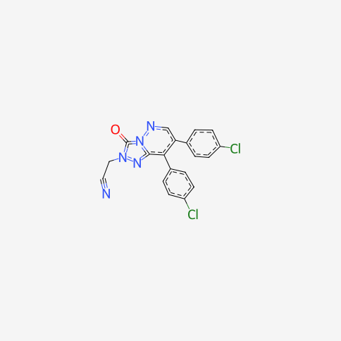 N#CCn1nc2c(-c3ccc(Cl)cc3)c(-c3ccc(Cl)cc3)cnn2c1=O